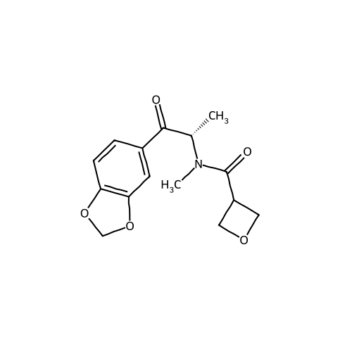 C[C@@H](C(=O)c1ccc2c(c1)OCO2)N(C)C(=O)C1COC1